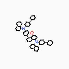 c1ccc(-c2ccc(N(c3ccc4c(c3)Oc3ccc(N(c5ccc(-c6ccccc6)cc5)c5cccc6ccccc56)c5cccc-4c35)c3cccc4ccccc34)cc2)cc1